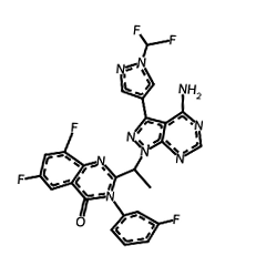 CC(c1nc2c(F)cc(F)cc2c(=O)n1-c1cccc(F)c1)n1nc(-c2cnn(C(F)F)c2)c2c(N)ncnc21